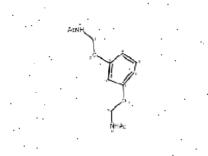 CC(=O)NCOc1cccc(OCNC(C)=O)c1